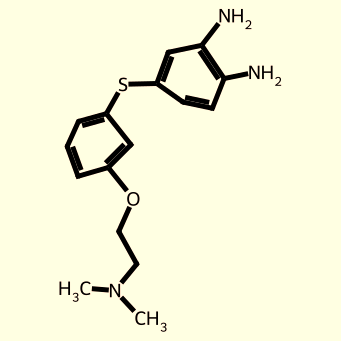 CN(C)CCOc1cccc(Sc2ccc(N)c(N)c2)c1